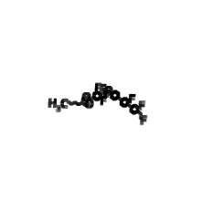 CCCCCC1COC(c2cc(F)c(C(F)(F)Oc3ccc(-c4ccc(-c5ccc(CCF)c(F)c5)c(F)c4)cc3)c(F)c2)OC1